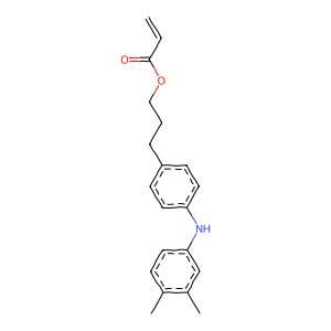 C=CC(=O)OCCCc1ccc(Nc2ccc(C)c(C)c2)cc1